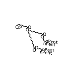 CCCCCC(CCCCC)CCOC(=O)CCCCCCCCCC(CCCCCCCC(=O)OCCC(CCCCC)CCCCC)OC(=O)CCCN1CCOCC1